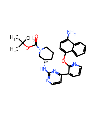 CC(C)(C)OC(=O)N1CCC[C@H](Nc2nccc(-c3cccnc3Oc3ccc(N)c4ccccc34)n2)C1